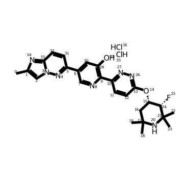 Cc1cn2nc(-c3cnc(-c4ccc(O[C@H]5CC(C)(C)NC(C)(C)[C@H]5F)nn4)c(O)c3)ccc2n1.Cl.Cl